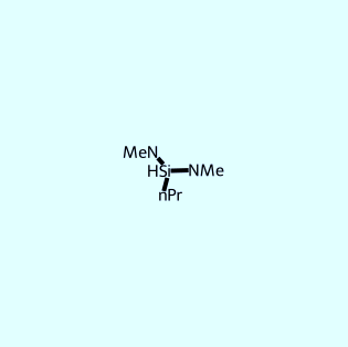 CCC[SiH](NC)NC